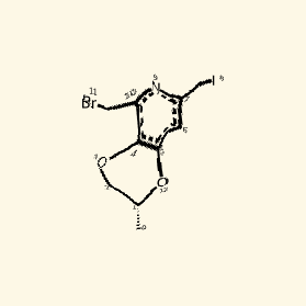 C[C@@H]1COc2c(cc(I)nc2Br)O1